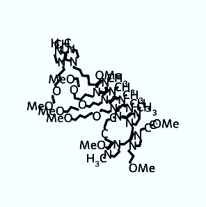 COCCCCOCCn1c2c(n(C)c3c4n2CCCCCC2=C(OC)N(C)CCN2CC2=C(CN4CCN3C)N(CCCOC)CCN2CCCOC)n(C)c2c1n(CCCOCCCOC)c1c(n(C)c(OC)c(CCCCCN3CCN(C)C4=C3N(CCCCOCCOC)CCN4C)n1CCCCOCCOC)n2C